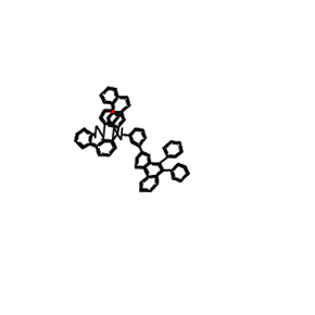 c1ccc(-c2c(-c3ccccc3)c3cc(-c4cccc(N(c5ccc6c(ccc7ccccc76)c5)c5cccc6c7ccccc7n(-c7ccccc7)c56)c4)ccc3c3ccccc23)cc1